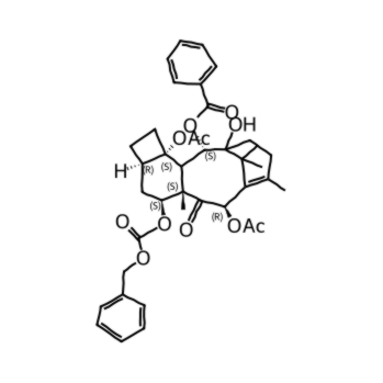 CC(=O)O[C@H]1C(=O)[C@@]2(C)C([C@H](OC(=O)c3ccccc3)C3(O)CCC(C)=C1C3(C)C)[C@]1(OC(C)=O)CC[C@@H]1C[C@@H]2OC(=O)OCc1ccccc1